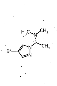 CC(N(C)C)n1cc(Br)cn1